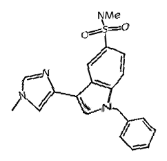 CNS(=O)(=O)c1ccc2c(c1)c(-c1cn(C)cn1)cn2-c1ccccc1